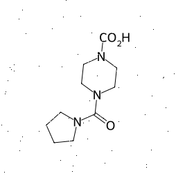 O=C(O)N1CCN(C(=O)N2CCCC2)CC1